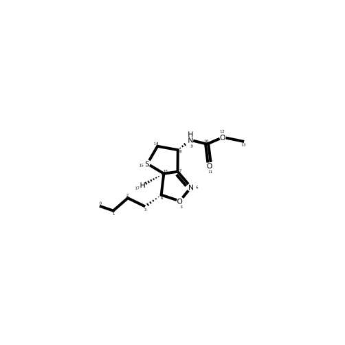 CCCC[C@H]1ON=C2[C@@H](NC(=O)OC)CS[C@@H]21